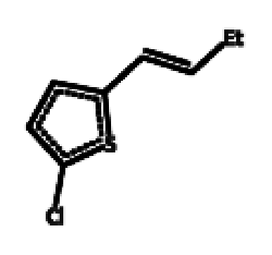 [CH2]CC=Cc1ccc(Cl)s1